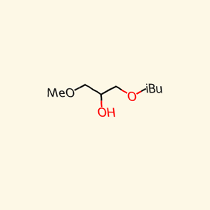 CCC(C)OCC(O)COC